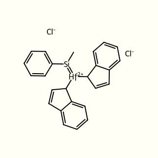 C[Si](c1ccccc1)=[Hf+2]([CH]1C=Cc2ccccc21)[CH]1C=Cc2ccccc21.[Cl-].[Cl-]